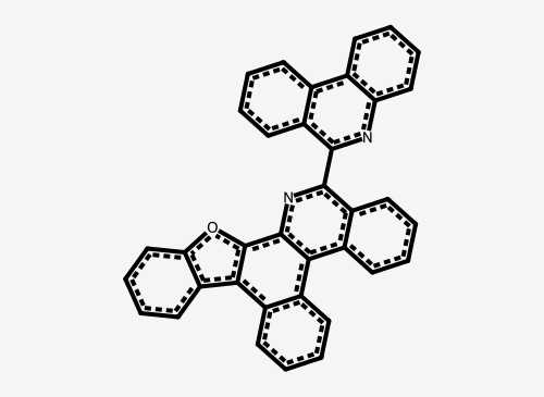 c1ccc2c(c1)nc(-c1nc3c4oc5ccccc5c4c4ccccc4c3c3ccccc13)c1ccccc12